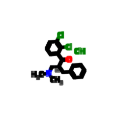 CN(C)C[C@H](Cc1ccccc1)C(=O)c1cccc(Cl)c1Cl.Cl